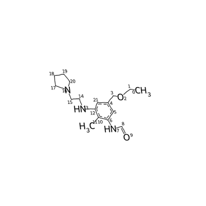 CCOCc1cc(NC=O)c(C)c(NCCN2CCCC2)c1